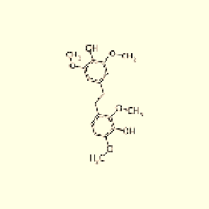 COc1cc(CCc2ccc(OC)c(O)c2OC)cc(OC)c1O